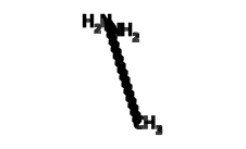 CCCCCCCCCCCCCCCCCCCCCCCCCCC(N)CCN